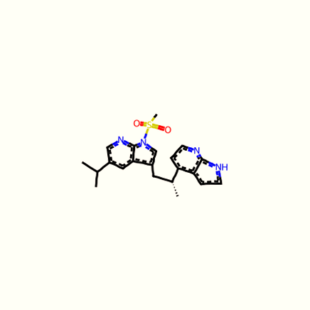 CC(C)c1cnc2c(c1)c(C[C@@H](C)c1ccnc3[nH]ccc13)cn2S(C)(=O)=O